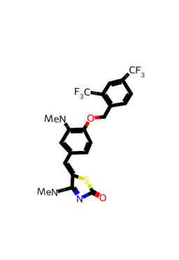 CNC1=NC(=O)S/C1=C\c1ccc(OCc2ccc(C(F)(F)F)cc2C(F)(F)F)c(NC)c1